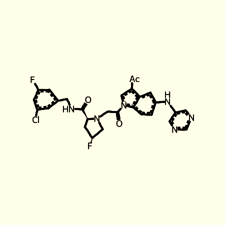 CC(=O)c1cn(C(=O)CN2C[C@H](F)C[C@H]2C(=O)NCc2cc(F)cc(Cl)c2)c2ccc(Nc3cncnc3)cc12